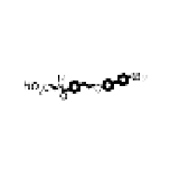 CC(C)(C)c1ccc(-c2ccc(OCCCc3ccc(C(=O)NCCC(=O)O)cc3)cc2)cc1